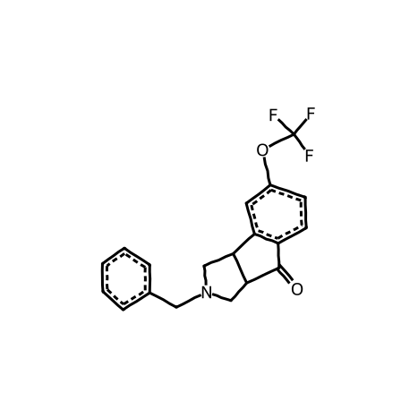 O=C1c2ccc(OC(F)(F)F)cc2C2CN(Cc3ccccc3)CC12